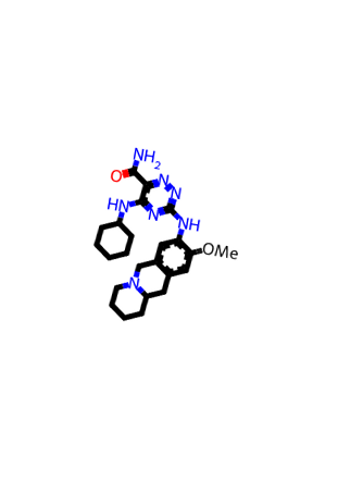 COc1cc2c(cc1Nc1nnc(C(N)=O)c(NC3CCCCC3)n1)CN1CCCCC1C2